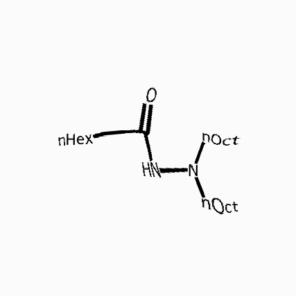 CCCCCCCCN(CCCCCCCC)NC(=O)CCCCCC